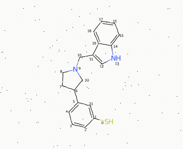 Sc1cccc(C2CCN(Cc3c[nH]c4ccccc34)C2)c1